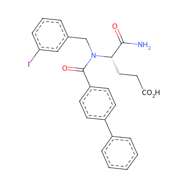 NC(=O)[C@H](CCC(=O)O)N(Cc1cccc(I)c1)C(=O)c1ccc(-c2ccccc2)cc1